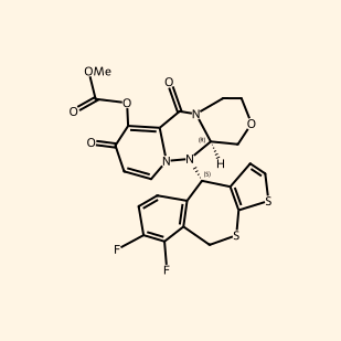 COC(=O)Oc1c2n(ccc1=O)N([C@@H]1c3ccsc3SCc3c1ccc(F)c3F)[C@@H]1COCCN1C2=O